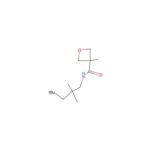 CC(C)(C)CC(C)(C)CNC(=O)C1(C)COC1